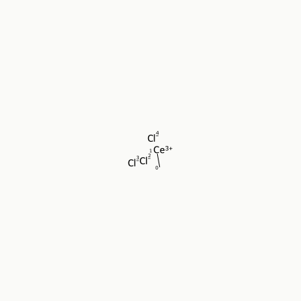 [CH3][Ce+3].[Cl-].[Cl-].[Cl-]